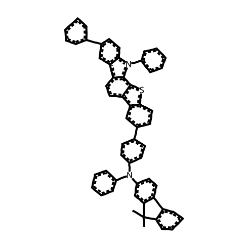 CC1(C)c2ccccc2-c2ccc(N(c3ccccc3)c3ccc(-c4ccc5sc6c(ccc7c8cc(-c9ccccc9)ccc8n(-c8ccccc8)c76)c5c4)cc3)cc21